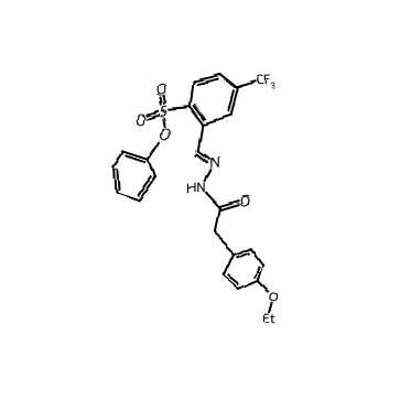 CCOc1ccc(CC(=O)NN=Cc2cc(C(F)(F)F)ccc2S(=O)(=O)Oc2ccccc2)cc1